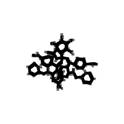 COc1ccc(C(=CC2(C=C(c3ccc(OC)cc3)C3C=CC(C)CC3NCC3C=CC=CO3)OC(=O)c3c(Cl)c(Cl)c(Cl)c(Cl)c32)C2C=CC(C)CC2NCC2C=CC=CO2)cc1